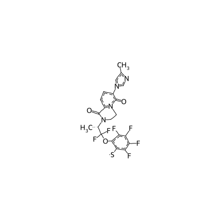 Cc1cn(-c2ccc3n(c2=O)CCN([C@@H](C)C(F)(F)Oc2c(F)c(F)c(F)c(F)c2[S])C3=O)cn1